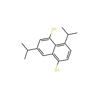 CC(C)c1cc(S)c2c(C(C)C)ccc(S)c2c1